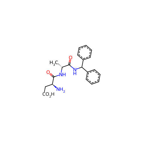 C[C@@H](NC(=O)[C@@H](N)CC(=O)O)C(=O)NC(c1ccccc1)c1ccccc1